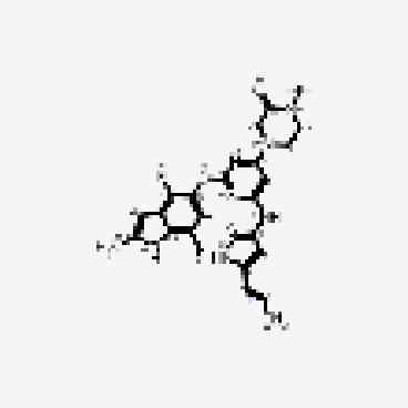 C/C=C/c1cc(Nc2cc(N3CCN(CC)C(=O)C3)nc(Oc3cc(F)c4[nH]c(C)cc4c3F)n2)n[nH]1